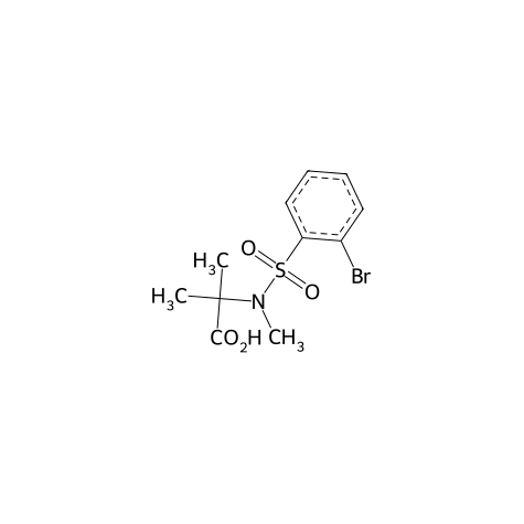 CN(C(C)(C)C(=O)O)S(=O)(=O)c1ccccc1Br